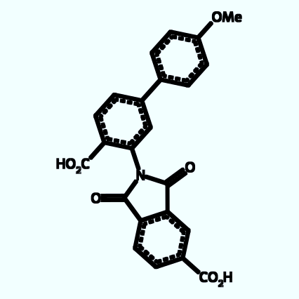 COc1ccc(-c2ccc(C(=O)O)c(N3C(=O)c4ccc(C(=O)O)cc4C3=O)c2)cc1